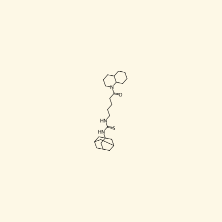 O=C(CCCCNC(=S)NC12CC3CC(CC(C3)C1)C2)N1CCCC2CCCCC21